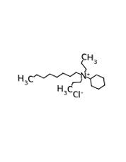 CCCCCCCC[N+](CCC)(CCC)C1CCCCC1.[Cl-]